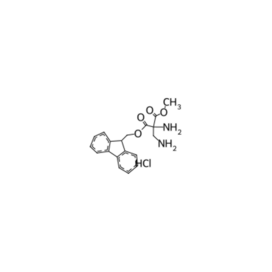 COC(=O)C(N)(CN)C(=O)OCC1c2ccccc2-c2ccccc21.Cl